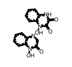 O=c1[nH]c2ccccc2n(O)c1=O.O=c1cnc2ccccc2n1O